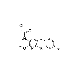 CC1CN(C(=O)CCl)c2cc(Cc3ccc(F)cc3)c(Br)nc2O1